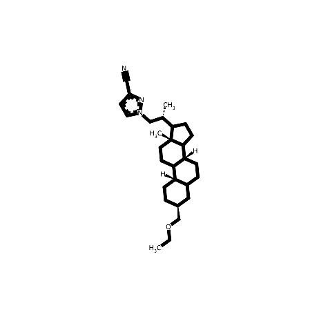 CCOC[C@H]1CC[C@H]2C(CC[C@@H]3C2CC[C@@]2(C)C3CCC2[C@@H](C)Cn2ccc(C#N)n2)C1